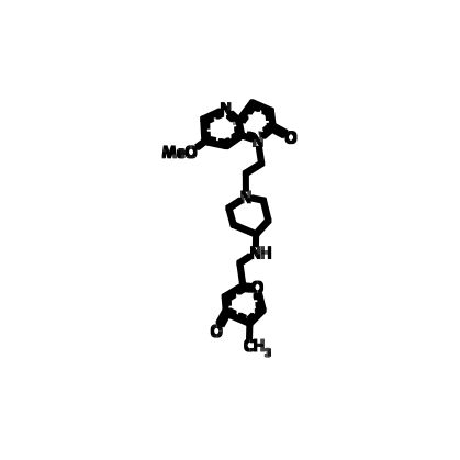 COc1cnc2ccc(=O)n(CCN3CCC(NCc4cc(=O)c(C)co4)CC3)c2c1